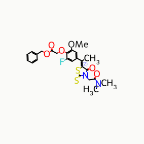 COc1cc(/C(C)=C2\SC(=S)N(CC(=O)N(C)C)C2=O)cc(F)c1OCC(=O)OCc1ccccc1